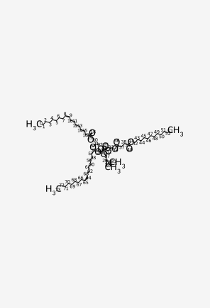 CCCCCCCC/C=C\CCCCCCCC(=O)OC[C@H](COP(=O)(OCCN(C)C)OCOC(=O)CCC(=O)OCCCCCCCCCCCC)OC(=O)CCCCCCC/C=C\CCCCCCCC